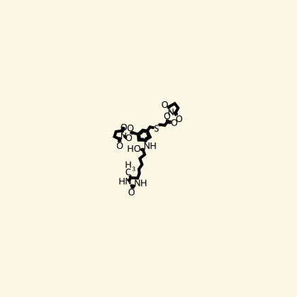 CC1NC(=O)NC1CCCCCC(O)Nc1cc(CSCCC(=O)ON2C(=O)CCC2=O)cc(C(=O)ON2C(=O)CCC2=O)c1